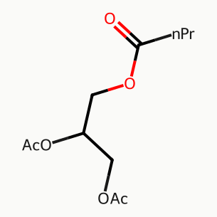 CCCC(=O)OCC(COC(C)=O)OC(C)=O